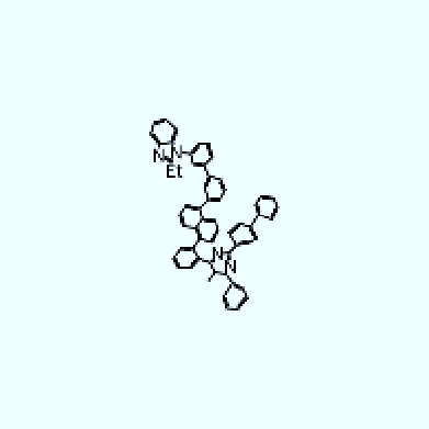 CCc1nc2ccccc2n1-c1cccc(-c2cccc(-c3cccc4c(-c5ccccc5C5=NC(c6ccc(-c7ccccc7)cc6)=NC(c6ccccc6)C5C)cccc34)c2)c1